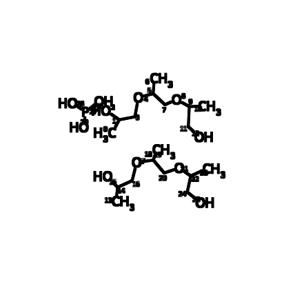 CC(O)COC(C)COC(C)CO.CC(O)COC(C)COC(C)CO.OP(O)O